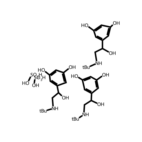 CC(C)(C)NCC(O)c1cc(O)cc(O)c1.CC(C)(C)NCC(O)c1cc(O)cc(O)c1.CC(C)(C)NCC(O)c1cc(O)cc(O)c1.O=S(=O)(O)O.O=S(=O)(O)O